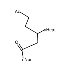 CCCCCCCCCC(=O)CC(CCCCCCC)CCC(C)=O